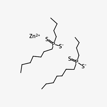 CCCCCCCP(=S)([S-])CCCC.CCCCCCCP(=S)([S-])CCCC.[Zn+2]